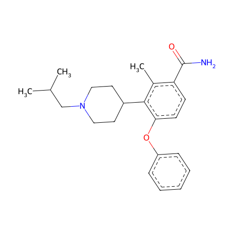 Cc1c(C(N)=O)ccc(Oc2ccccc2)c1C1CCN(CC(C)C)CC1